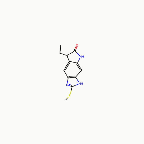 CCC1C(=O)Nc2cc3[nH]c(SC)nc3cc21